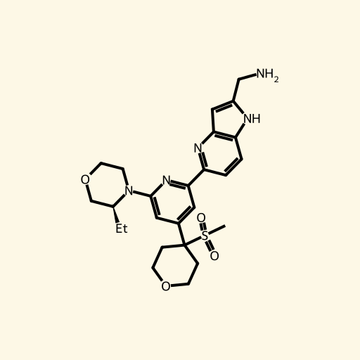 CC[C@H]1COCCN1c1cc(C2(S(C)(=O)=O)CCOCC2)cc(-c2ccc3[nH]c(CN)cc3n2)n1